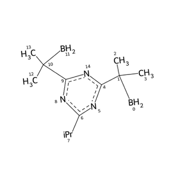 BC(C)(C)c1nc(C(C)C)nc(C(B)(C)C)n1